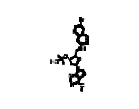 COc1ncnc2c1ccn2[C@H]1C[C@H](OC(C)(C)O)[C@@H](CNc2ccc3cc(Br)cnc3c2)O1